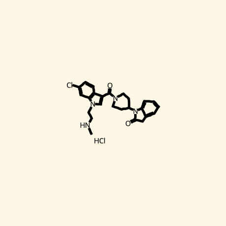 CNCCn1cc(C(=O)N2CCC(N3C(=O)Cc4ccccc43)CC2)c2ccc(Cl)cc21.Cl